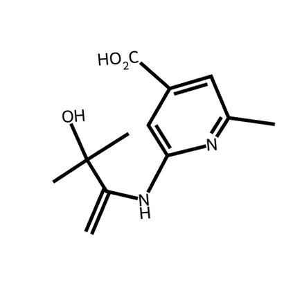 C=C(Nc1cc(C(=O)O)cc(C)n1)C(C)(C)O